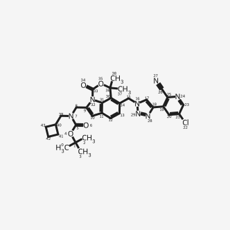 CC(C)(C)OC(=O)N(Cc1cc2ccc(Cn3cc(-c4cc(Cl)cnc4C#N)nn3)c3c2n1C(=O)OC3(C)C)CC1CCC1